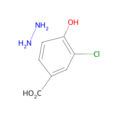 NN.O=C(O)c1ccc(O)c(Cl)c1